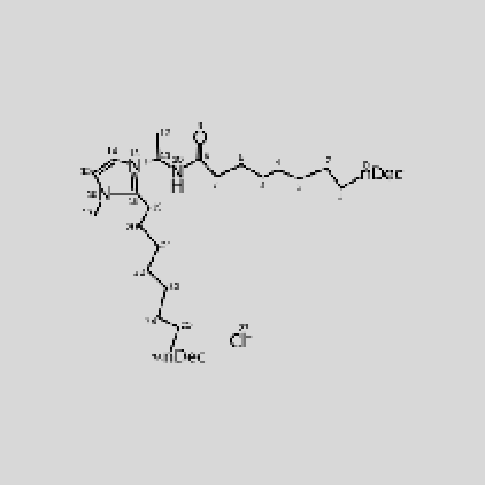 CCCCCCCCCCCCCCCCCC(=O)NC(C)[n+]1ccn(C)c1CCCCCCCCCCCCCCCCC.[Cl-]